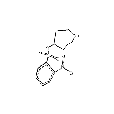 O=[N+]([O-])c1ccccc1S(=O)(=O)OC1CCNCC1